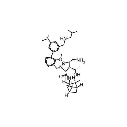 COc1c(CN2O[C@@H](CN)[C@@H]([C@H](C)O)[C@H]2C(=O)N[C@H]2C[C@H]3C[C@@H]([C@@H]2C)C3(C)C)cccc1-c1cc(CNCC(C)C)cc(N(C)C)c1